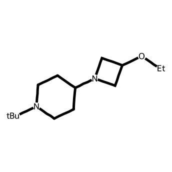 CCOC1CN(C2CCN(C(C)(C)C)CC2)C1